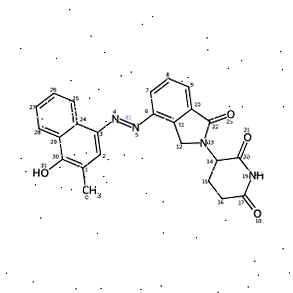 Cc1cc(/N=N/c2cccc3c2CN(C2CCC(=O)NC2=O)C3=O)c2ccccc2c1O